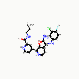 COCCNC(=O)c1cc(-c2nccc3c(Nc4ccc(F)c(Cl)c4)c(N)oc23)ccn1